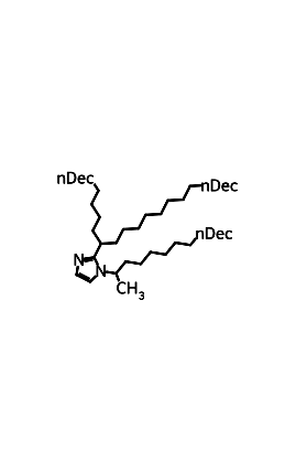 CCCCCCCCCCCCCCCCCCC(CCCCCCCCCCCCCC)c1nccn1C(C)CCCCCCCCCCCCCCCC